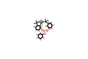 CC1(C)C[C@H]2CC(C)(C)c3cccc(c32)OP(Oc2ccccc2)Oc2cccc1c2